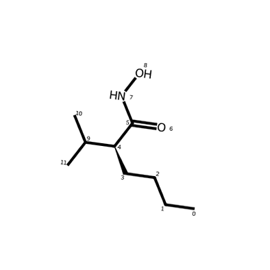 CCCC[C@H](C(=O)NO)C(C)C